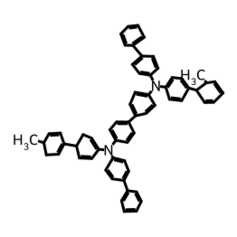 CC1C=CC(C2C=CC(N(c3ccc(-c4ccccc4)cc3)c3ccc(-c4ccc(N(c5ccc(-c6ccccc6)cc5)c5ccc(C6C=CC=CC6C)cc5)cc4)cc3)=CC2)=CC1